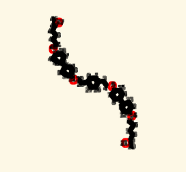 c1cc(CCOc2ccc(-c3ccc(OCCCCC4CO4)cc3)cc2)ccc1CCOc1ccc(-c2ccc(OCCCCC3CO3)cc2)cc1